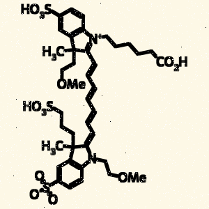 COCCN1/C(=C/C=C/C=C/C=C/C2=[N+](CCCCCC(=O)O)c3ccc(S(=O)(=O)O)cc3C2(C)CCOC)C(C)(CCCS(=O)(=O)O)c2cc(S(=O)(=O)[O-])ccc21